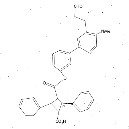 CNc1ccc(-c2cccc(OC(=O)C3C(c4ccccc4)C(C(=O)O)[C@@H]3c3ccccc3)c2)cc1CCC=O